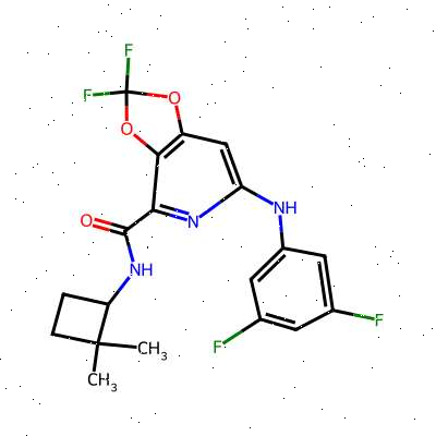 CC1(C)CCC1NC(=O)c1nc(Nc2cc(F)cc(F)c2)cc2c1OC(F)(F)O2